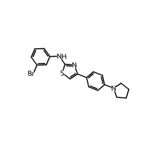 Brc1cccc(Nc2nc(-c3ccc(N4CCCC4)cc3)cs2)c1